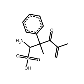 C=C(C)C(=O)C(C)(c1ccccc1)C(N)S(=O)(=O)O